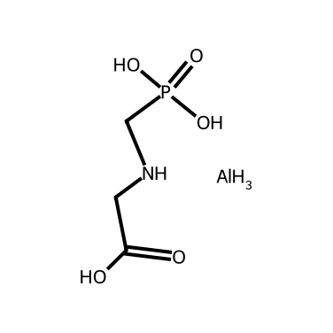 O=C(O)CNCP(=O)(O)O.[AlH3]